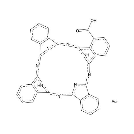 O=C(O)c1cccc2c3nc4nc(nc5[nH]c(nc6nc(nc([nH]3)c12)-c1ccccc1-6)c1ccccc51)-c1ccccc1-4.[Au]